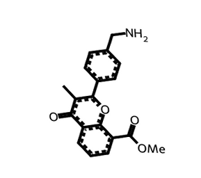 COC(=O)c1cccc2c(=O)c(C)c(-c3ccc(CN)cc3)oc12